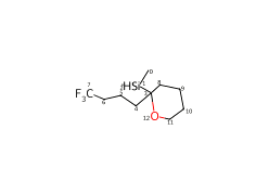 C[SiH](C)C1(CCCC(F)(F)F)CCCCO1